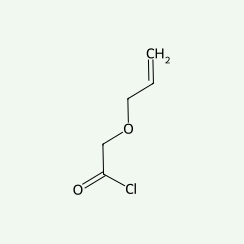 C=CCOCC(=O)Cl